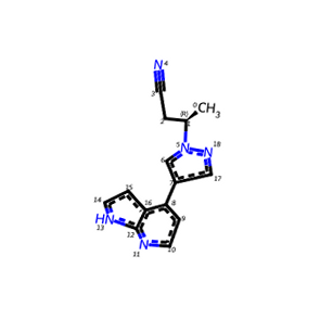 C[C@H](CC#N)n1cc(-c2ccnc3[nH]ccc23)cn1